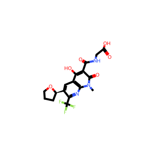 Cn1c(=O)c(C(=O)NCC(=O)O)c(O)c2cc([C@H]3CCCO3)c(C(F)(F)F)nc21